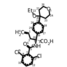 C=CC[C@@](NC(=O)c1c(Cl)cccc1Cl)(C(=O)O)c1ccc(C2(OCC)CCOCC2)cc1